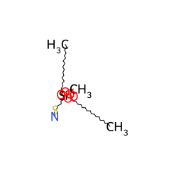 CCCCCCCCCCCCCCCCCC(=O)O[Si](CCCCCCSC#N)(OCC)OC(=O)CCCCCCCCCCCCCCCCC